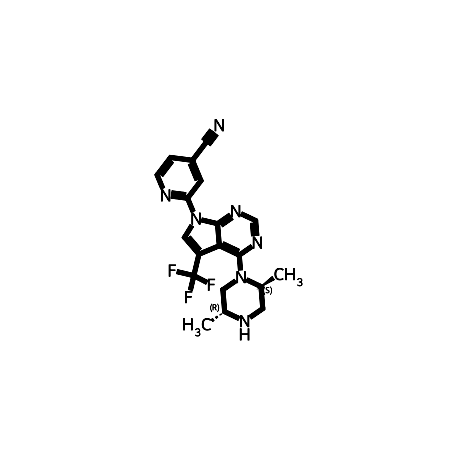 C[C@@H]1CN(c2ncnc3c2c(C(F)(F)F)cn3-c2cc(C#N)ccn2)[C@@H](C)CN1